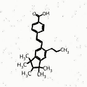 CCCc1cc2c(cc1C=Cc1ccc(C(=O)O)cc1)C(C)(C)C(C)C2(C)C